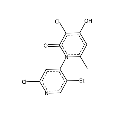 CCc1cnc(Cl)cc1-n1c(C)cc(O)c(Cl)c1=O